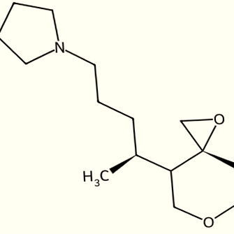 C[C@@H](CCCN1CCCC1)C1COCC[C@]12CO2